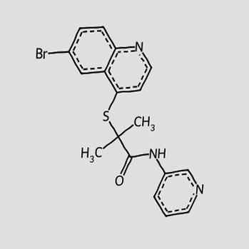 CC(C)(Sc1ccnc2ccc(Br)cc12)C(=O)Nc1cccnc1